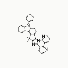 CC1(C)c2nc3c4cccnc4c4cccnc4n3c2-c2ccc3c(c21)c1ccccc1n3-c1ccccc1